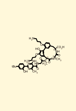 Cc1nc(-c2ccc(C(C)(C)C)cc2O)nc(N)c1C(=O)NCC(=O)N(C)[C@@H]1C(=O)N[C@@H](C)C(=O)N[C@H](C(=O)O)Cc2ccc(OCCCN)c(c2)-c2cc1cc(OCCCN)c2O